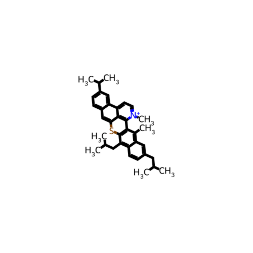 Cc1c2c(c(CC(C)C)c3ccc(CC(C)C)cc13)Sc1cc3ccc(C(C)C)cc3c3cc[n+](C)c-2c13